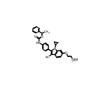 COCCOc1ccc2c(C#N)c(-c3ccc(NC(=O)OC(C)c4ccccc4)cc3)n(C3CC3)c2c1